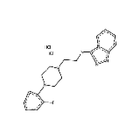 Cl.Cl.Fc1ccccc1N1CCN(CCSc2nnc3ccccn23)CC1